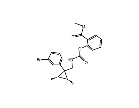 COC(=O)c1ccccc1OC(=O)NCC1(c2cccc(Br)c2)[C@H](C)[C@@H]1F